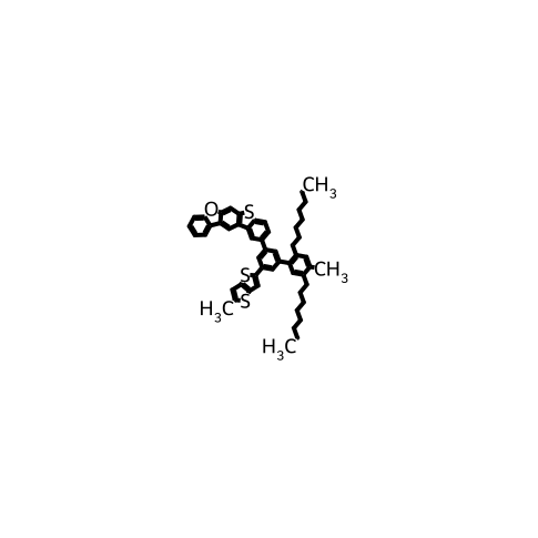 CCCCCCCCc1cc(-c2cc(-c3ccc4sc5cc6oc7ccccc7c6cc5c4c3)cc(-c3cc4sc(C)cc4s3)c2)c(CCCCCCCC)cc1C